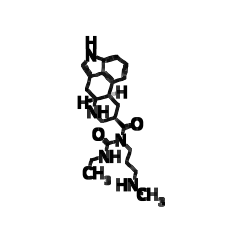 CCNC(=O)N(CCCNC)C(=O)[C@H]1CN[C@@H]2Cc3c[nH]c4cccc(c34)[C@H]2C1